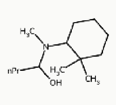 CCCC(O)N(C)C1CCCCC1(C)C